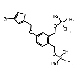 CC(C)(C)[Si](C)(C)OCc1ccc(OCc2cc(Br)cs2)cc1CO[Si](C)(C)C(C)(C)C